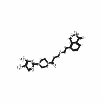 Nc1nc(N2CCN(C(=O)CCOCCc3cccc4c(=O)[nH]ncc34)CC2)ncc1C(F)(F)F